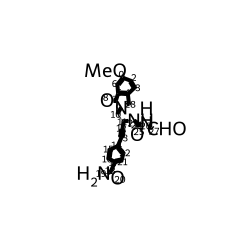 COc1ccc2c(c1)C(=O)N(C[C@@H](C#Cc1ccc(C(N)=O)cc1)NC(=O)NC=O)C2